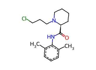 Cc1cccc(C)c1NC(=O)[C@@H]1CCCCN1CCCCl